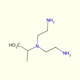 CC(C(=O)O)N(CCN)CCN